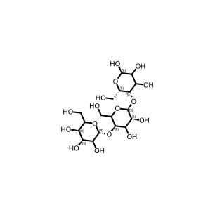 OCC1O[C@@H](O[C@H]2C(O)C(O)[C@H](O)O[C@H]2CO)[C@@H](O)C(O)[C@H]1O[C@H]1OC(CO)[C@H](O)[C@H](O)C1O